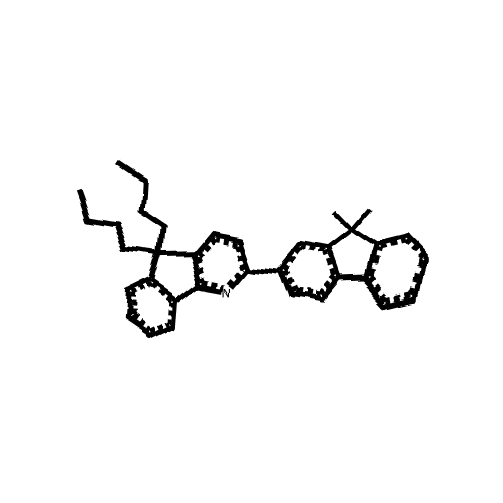 CCCCC1(CCCC)c2ccccc2-c2nc(-c3ccc4c(c3)C(C)(C)c3ccccc3-4)ccc21